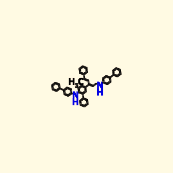 C/C(=C\C(=C/CNc1ccc(-c2ccccc2)cc1)c1ccc(Nc2ccc(-c3ccccc3)cc2)c(-c2ccccc2)c1)c1ccccc1